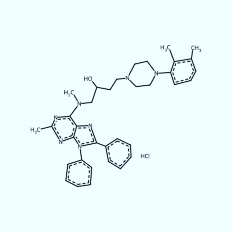 Cc1nc(N(C)CC(O)CCN2CCN(c3cccc(C)c3C)CC2)c2nc(-c3ccccc3)n(-c3ccccc3)c2n1.Cl